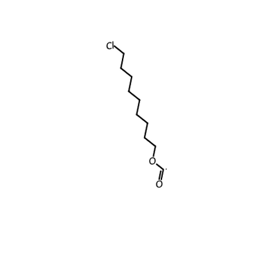 O=[C]OCCCCCCCCCCl